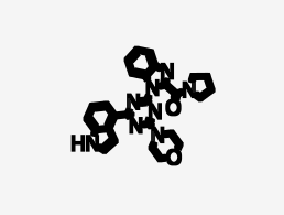 O=C(c1nc2ccccc2n1-c1nc(-c2cccc3[nH]ccc23)nc(N2CCOCC2)n1)N1CCCC1